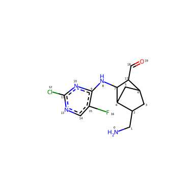 NCC1CC2CC1C(Nc1nc(Cl)ncc1F)C2C=O